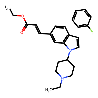 CCOC(=O)C=Cc1ccc2ccn(C3CCN(CC)CC3)c2c1.Fc1ccccc1